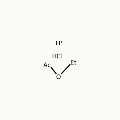 CCOC(C)=O.Cl.[H+]